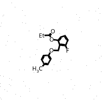 CCC(=O)Oc1cccc(F)c1COc1ccc(C)cc1